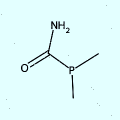 CP(C)C(N)=O